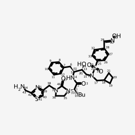 CC[C@H](C)[C@@H](C(=O)N[C@@H](Cc1ccccc1)[C@H](O)CN(CC1CCC1)S(=O)(=O)c1ccc(C=NO)cc1)N1CCN(Cc2csc(CN)n2)C1=O